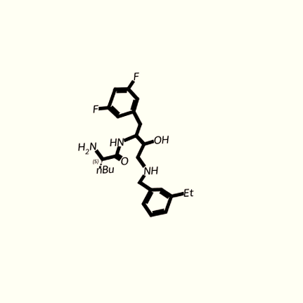 CCCC[C@H](N)C(=O)NC(Cc1cc(F)cc(F)c1)C(O)CNCc1cccc(CC)c1